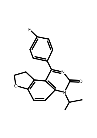 CC(C)n1c(=O)nc(-c2ccc(F)cc2)c2c3c(ccc21)OCC3